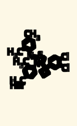 Br.Cc1ccc(N=c2scc(C3(c4ccc(Cl)c(Cl)c4)CCC3)n2-c2ccc(C)cc2C)c(C)c1